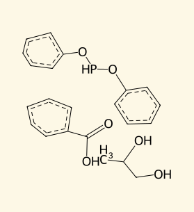 CC(O)CO.O=C(O)c1ccccc1.c1ccc(OPOc2ccccc2)cc1